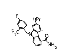 CCCc1c[c]c2c3c(C(N)=O)cccc3n(Cc3ccc(F)cc3C(F)(F)F)c2c1